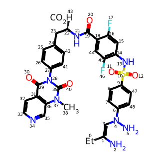 CC/C(N)=C/N(N)c1ccc(S(=O)(=O)Nc2cc(F)c(C(=O)N[C@@H](Cc3ccc(-n4c(=O)c5ccncc5n(C)c4=O)cc3)C(=O)O)cc2F)cc1